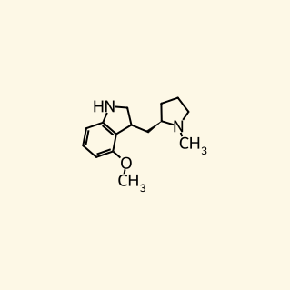 COc1cccc2c1C(C[C@H]1CCCN1C)CN2